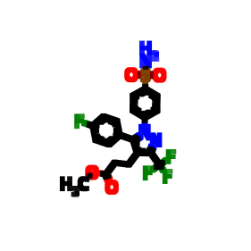 COC(=O)CCc1c(C(F)(F)F)nn(-c2ccc(S(N)(=O)=O)cc2)c1-c1ccc(F)cc1